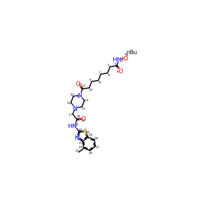 CCCCONC(=O)CCCCCCC(=O)N1CCN(CC(=O)Nc2nc3c(C)cccc3s2)CC1